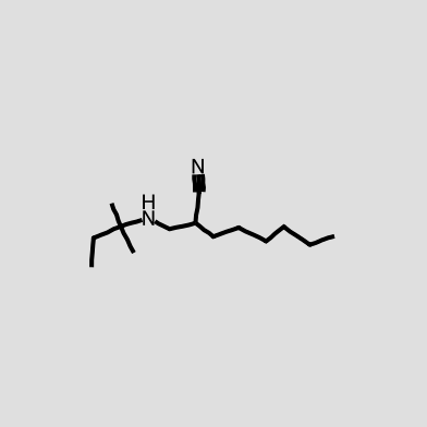 CCCCCCC(C#N)CNC(C)(C)CC